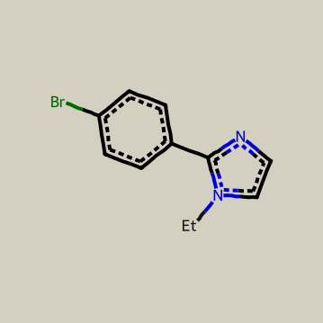 CCn1ccnc1-c1ccc(Br)cc1